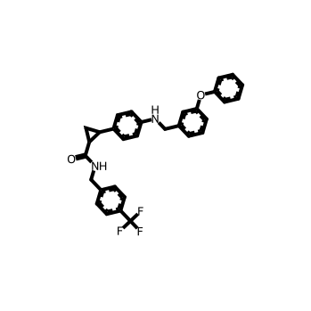 O=C(NCc1ccc(C(F)(F)F)cc1)C1CC1c1ccc(NCc2cccc(Oc3ccccc3)c2)cc1